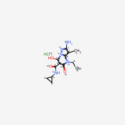 Cc1c(N)nn2c(O)c(C(=O)NC3CC3)c(=O)n(CC(C)(C)C)c12.Cl